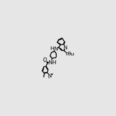 Cc1ccc(C(=O)NC2CCC(Nc3cc(C(C)(C)C)nc4ccccc34)CC2)cc1N(C)C